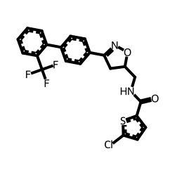 O=C(NCC1CC(c2ccc(-c3ccccc3C(F)(F)F)cc2)=NO1)c1ccc(Cl)s1